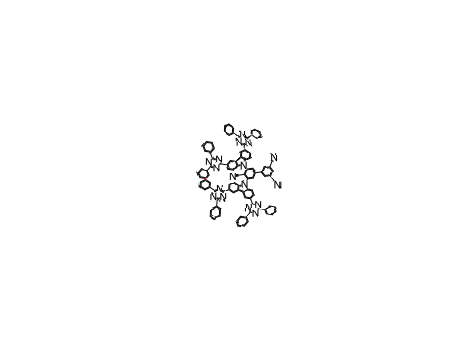 N#Cc1cc(C#N)cc(-c2cc(-n3c4ccc(-c5nc(-c6ccccc6)nc(-c6ccccc6)n5)cc4c4cc(-c5nc(-c6ccccc6)nc(-c6ccccc6)n5)ccc43)c(C#N)c(-n3c4ccc(-c5nc(-c6ccccc6)nc(-c6ccccc6)n5)cc4c4cc(-c5nc(-c6ccccc6)nc(-c6ccccc6)n5)ccc43)c2)c1